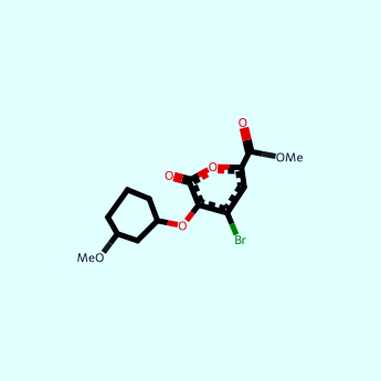 COC(=O)c1cc(Br)c(OC2CCCC(OC)C2)c(=O)o1